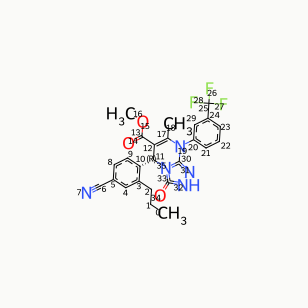 CCCc1cc(C#N)ccc1[C@@H]1C(C(=O)OC)=C(C)N(c2cccc(C(F)(F)F)c2)c2n[nH]c(=O)n21